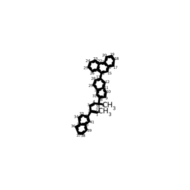 C/C=C(\C=C/C(C)(I)c1ccc2cc(-c3cc4ccccc4c4ccccc34)ccc2c1)c1ccc2ccccc2c1